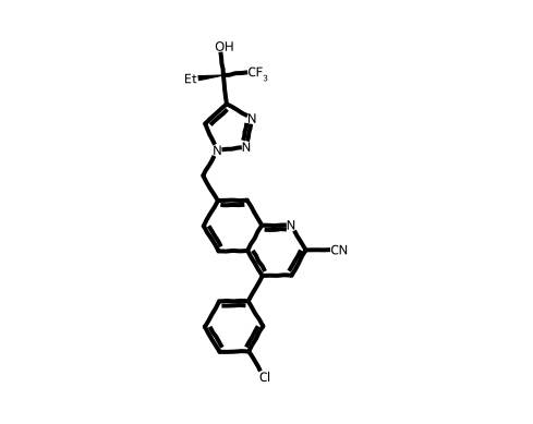 CC[C@](O)(c1cn(Cc2ccc3c(-c4cccc(Cl)c4)cc(C#N)nc3c2)nn1)C(F)(F)F